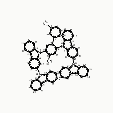 N#Cc1cccc(-c2cc(-n3c4ccccc4c4ccc(-n5c6ccccc6c6ccccc65)cc43)c(C#N)cc2-n2c3ccccc3c3ccc(-n4c5ccccc5c5ccccc54)cc32)c1